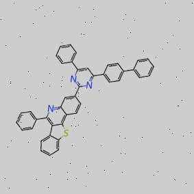 c1ccc(-c2ccc(-c3cc(-c4ccccc4)nc(-c4ccc5c(c4)nc(-c4ccccc4)c4c6ccccc6sc54)n3)cc2)cc1